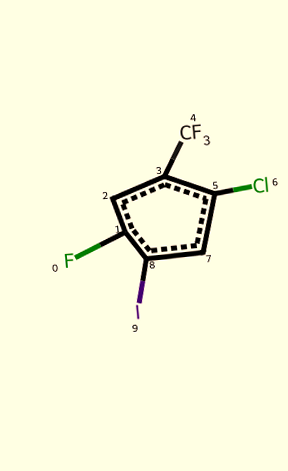 Fc1cc(C(F)(F)F)c(Cl)cc1I